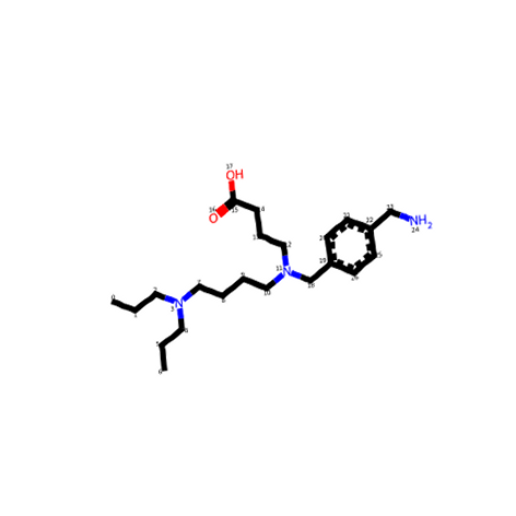 CCCN(CCC)CCCCN(CCCC(=O)O)Cc1ccc(CN)cc1